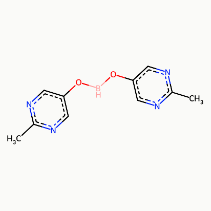 Cc1ncc(OBOc2cnc(C)nc2)cn1